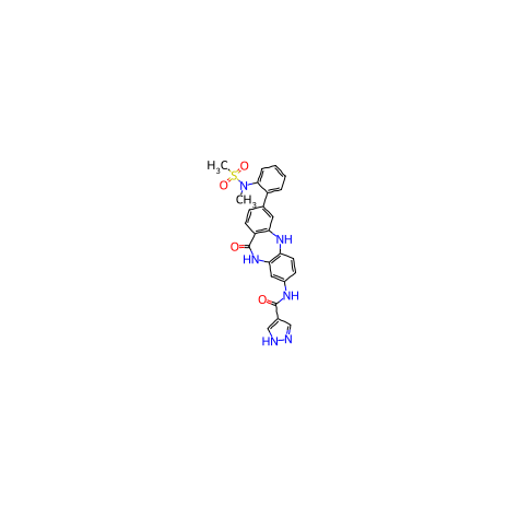 CN(c1ccccc1-c1ccc2c(c1)Nc1ccc(NC(=O)c3cn[nH]c3)cc1NC2=O)S(C)(=O)=O